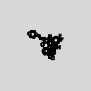 O=C(NCCN1CCOCC1)[C@@H]1NC2(CCC(F)(F)CC2)[C@]2(C(=O)Nc3cc(Cl)ccc32)[C@H]1c1cccc(Cl)c1F